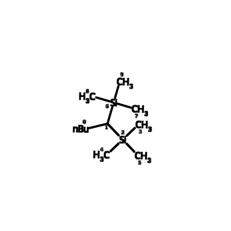 CCCCC([Si](C)(C)C)[Si](C)(C)C